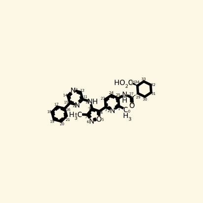 Cc1nc(-c2onc(C)c2Nc2cncc(-c3ccccc3)n2)ccc1NC(=O)[C@H]1CCCC[C@@H]1C(=O)O